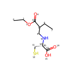 CCOC(=O)C(CC)CN[C@@H](CS)C(=O)O